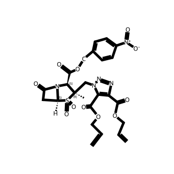 C=CCOC(=O)c1nnn(C[C@]2(C)[C@H](C(=O)OCc3ccc([N+](=O)[O-])cc3)N3C(=O)C[C@@H]3S2(=O)=O)c1C(=O)OCC=C